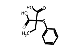 CCC(Sc1ccccc1)(C(=O)O)C(=O)O